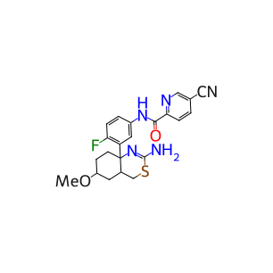 COC1CCC2(c3cc(NC(=O)c4ccc(C#N)cn4)ccc3F)N=C(N)SCC2C1